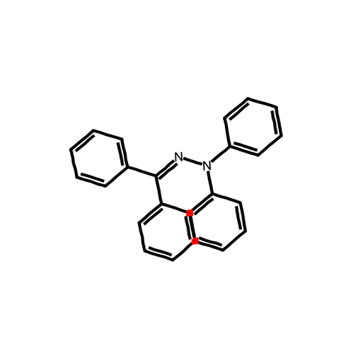 c1ccc(C(=NN(c2ccccc2)c2ccccc2)c2ccccc2)cc1